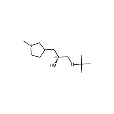 CN1CCC(C[C@H](O)COC(C)(C)C)C1